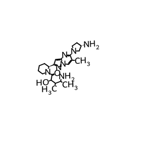 Cc1cn2nc([C@@H]3CCCCN3C(=O)C(O)C(C)C(C)N)cc2nc1N1CC[C@H](N)C1